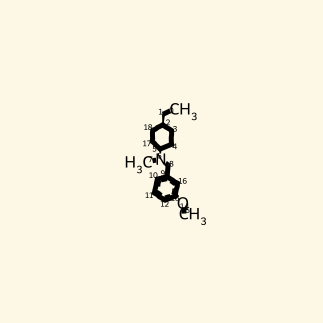 CC[C@H]1CC[C@H](N(C)Cc2cccc(OC)c2)CC1